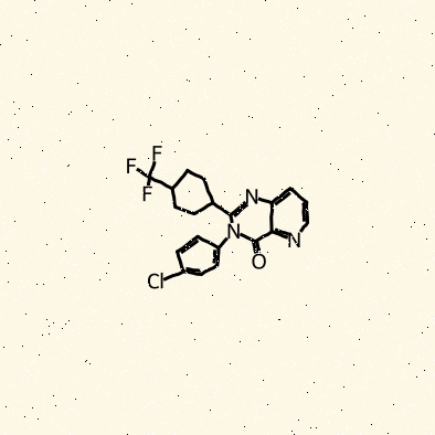 O=c1c2ncccc2nc(C2CCC(C(F)(F)F)CC2)n1-c1ccc(Cl)cc1